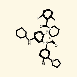 CCc1ccc(NC(=O)[C@H]2CCCN(C(=O)c3c(C)cccc3F)[C@H]2c2ccc(NC3CCCCC3)cc2)cc1N1CCCC1